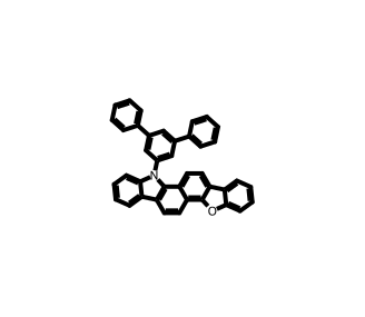 c1ccc(-c2cc(-c3ccccc3)cc(-n3c4ccccc4c4ccc5c(ccc6c7ccccc7oc65)c43)c2)cc1